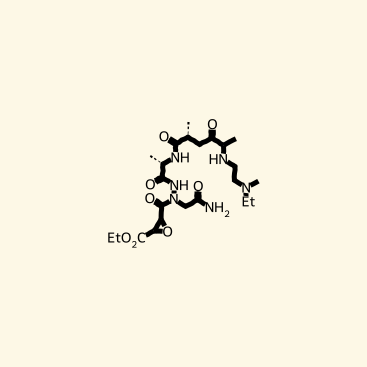 CCOC(=O)C1OC1C(=O)N(CC(N)=O)NC(=O)[C@H](C)NC(=O)[C@H](C)CC(=O)C(C)NCCN(C)CC